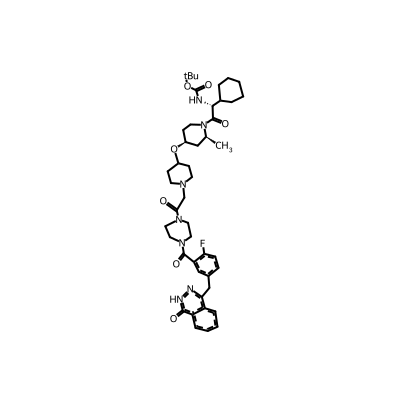 C[C@H]1C[C@@H](OC2CCN(CC(=O)N3CCN(C(=O)c4cc(Cc5n[nH]c(=O)c6ccccc56)ccc4F)CC3)CC2)CCN1C(=O)[C@H](NC(=O)OC(C)(C)C)C1CCCCC1